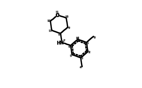 Cc1cc(C)cc(NC2CCOCC2)c1